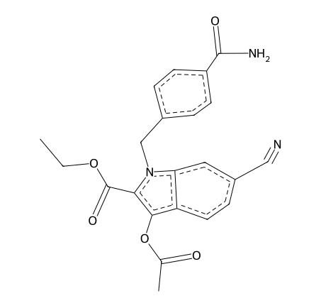 CCOC(=O)c1c(OC(C)=O)c2ccc(C#N)cc2n1Cc1ccc(C(N)=O)cc1